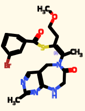 COCC/C(SC(=O)c1cccc(Br)c1)=C(\C)N1Cc2cnc(C)nc2NCC1=O